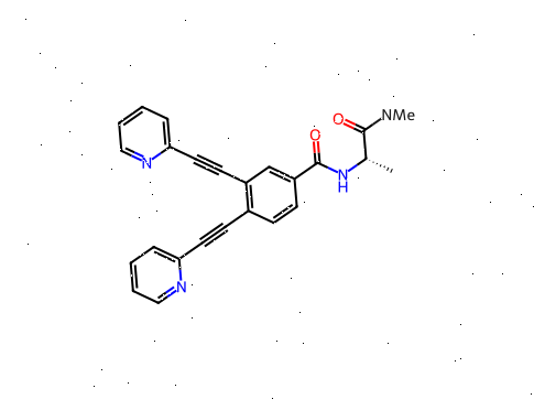 CNC(=O)[C@H](C)NC(=O)c1ccc(C#Cc2ccccn2)c(C#Cc2ccccn2)c1